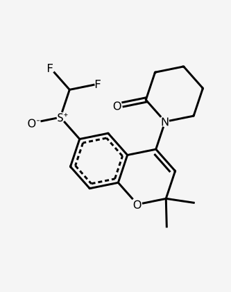 CC1(C)C=C(N2CCCCC2=O)c2cc([S+]([O-])C(F)F)ccc2O1